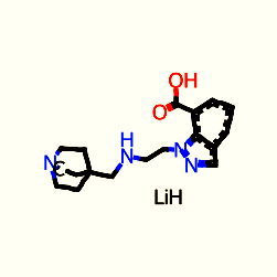 O=C(O)c1cccc2cnn(CCNCC34CCN(CC3)CC4)c12.[LiH]